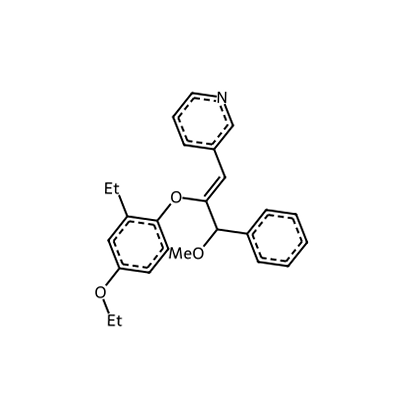 CCOc1ccc(OC(=Cc2cccnc2)C(OC)c2ccccc2)c(CC)c1